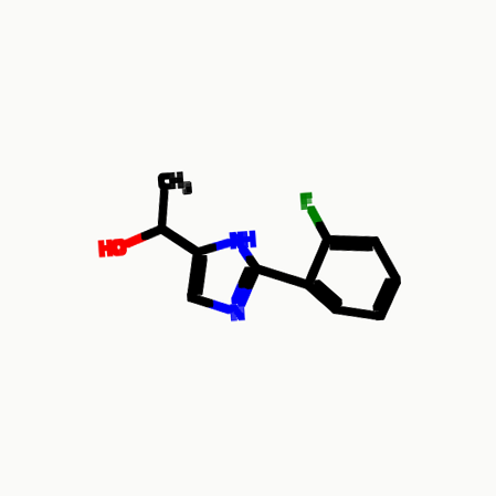 CC(O)c1cnc(-c2ccccc2F)[nH]1